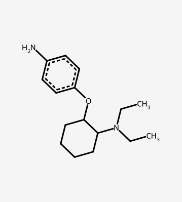 CCN(CC)C1CCCCC1Oc1ccc(N)cc1